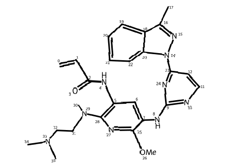 C=CC(=O)Nc1cc(Nc2nccc(-n3nc(C)c4ccccc43)n2)c(OC)nc1N(C)CCN(C)C